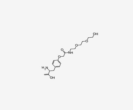 C=C(O)C(N)Cc1ccc(OCC(=O)NCCOCCOCCO)cc1